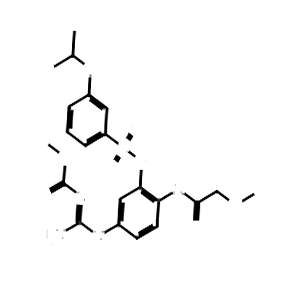 COCC(=O)Nc1ccc(NC(N)=NC(=O)OC)cc1OS(=O)(=O)c1cccc(OC(C)C)c1